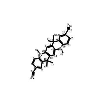 CN1c2ccc(C#N)cc2C(C)(C)c2cc3c(cc21)C(C)(C)c1cc(C#N)ccc1N3C